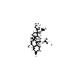 CCC(=O)O[C@]1(C(=O)COC(C)=O)CC[C@H]2[C@@H]3C[C@H](C)C4=CC(=O)CC[C@]4(C)[C@H]3[C@@H](OC(=O)C(F)(F)F)C[C@@]21C